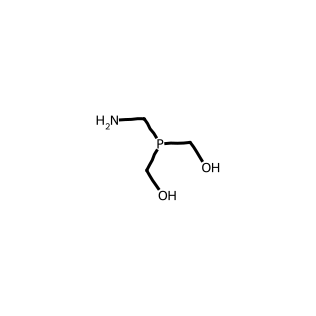 NCP(CO)CO